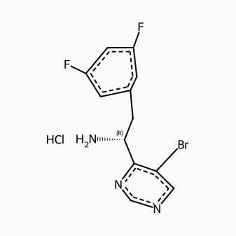 Cl.N[C@H](Cc1cc(F)cc(F)c1)c1ncncc1Br